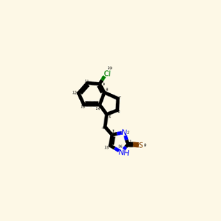 S=C1[N]C(CC2CCc3c(Cl)cccc32)=CN1